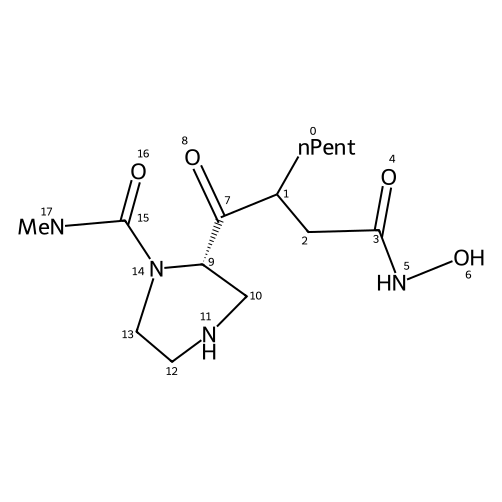 CCCCCC(CC(=O)NO)C(=O)[C@@H]1CNCCN1C(=O)NC